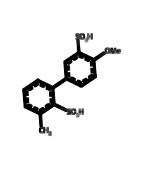 COc1ccc(-c2[c]ccc(C)c2S(=O)(=O)O)cc1S(=O)(=O)O